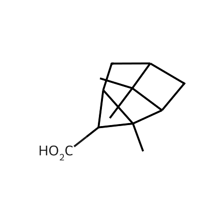 CC1(C)C2CC3C(C(=O)O)C3(C)C1C2